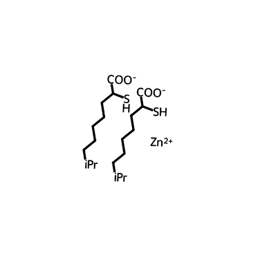 CC(C)CCCCCC(S)C(=O)[O-].CC(C)CCCCCC(S)C(=O)[O-].[Zn+2]